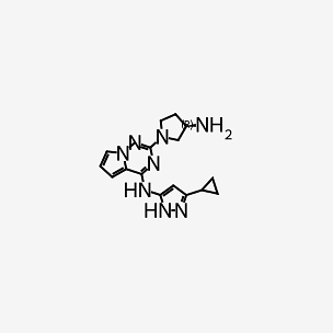 N[C@@H]1CCN(c2nc(Nc3cc(C4CC4)n[nH]3)c3cccn3n2)C1